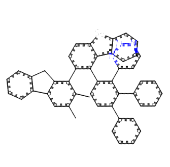 Cc1cc2c(c(-c3ccc4[se]c5ccccc5c4c3-c3ccc(-c4ccccc4)c(-c4ccccc4)c3-c3ccnnn3)c1C)Cc1ccccc1-2